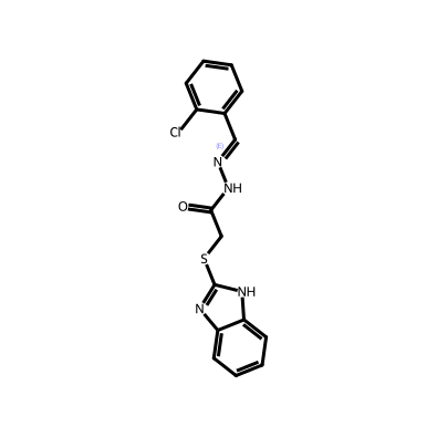 O=C(CSc1nc2ccccc2[nH]1)N/N=C/c1ccccc1Cl